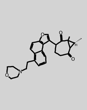 C[C@@H]1C2C(=O)CCC(c3coc4ccc5c(CCN6CCOCC6)cccc5c34)C(=O)C21C